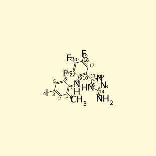 Cc1cc(I)ccc1Nc1c(-c2nnc(N)[nH]2)cc(F)c(F)c1F